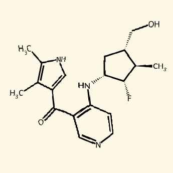 Cc1[nH]cc(C(=O)c2cnccc2N[C@@H]2C[C@H](CO)[C@@H](C)[C@@H]2F)c1C